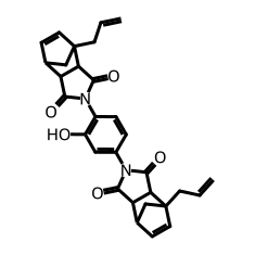 C=CCC12C=CC(C1)C1C(=O)N(c3ccc(N4C(=O)C5C6C=CC(CC=C)(C6)C5C4=O)c(O)c3)C(=O)C12